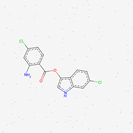 Nc1cc(Cl)ccc1C(=O)Oc1c[nH]c2cc(Cl)ccc12